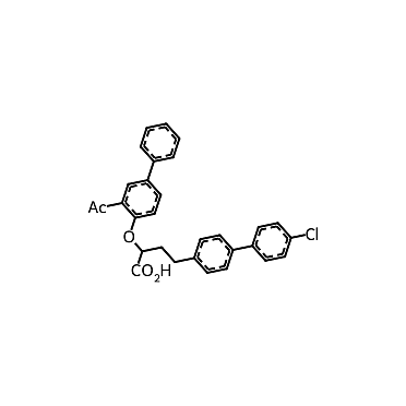 CC(=O)c1cc(-c2ccccc2)ccc1OC(CCc1ccc(-c2ccc(Cl)cc2)cc1)C(=O)O